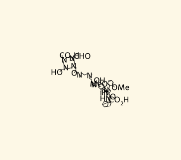 COc1cccc(OC)c1-c1cc(C(=O)NC2(C(=O)O)C3CC4CC(C3)CC2C4)nn1-c1ccc(C(O)N(C)CCCN(C)CCCN(C)C2OC2CN2CCN(CC=O)CCN(CC(=O)O)CCN(CCO)CC2)cc1C(C)C